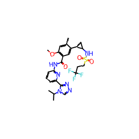 COc1cc(C)c(C2CC2NS(=O)(=O)CCC(F)(F)F)cc1C(=O)Nc1cccc(-c2nncn2C(C)C)n1